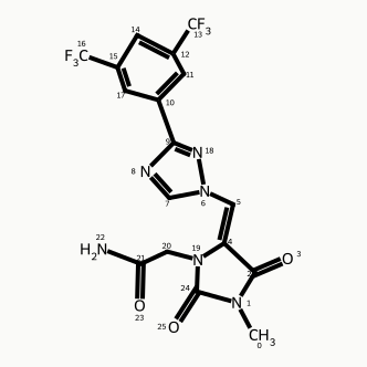 CN1C(=O)C(=Cn2cnc(-c3cc(C(F)(F)F)cc(C(F)(F)F)c3)n2)N(CC(N)=O)C1=O